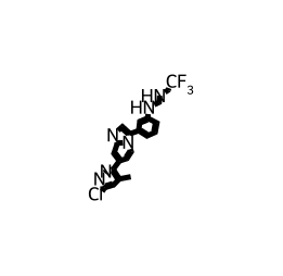 Cc1cc(Cl)nnc1-c1ccn2c(-c3cccc(NCNCC(F)(F)F)c3)cnc2c1